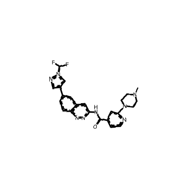 CN1CCN(c2cc(C(=O)Nc3cc4cc(-c5cnn(C(F)F)c5)ccc4nn3)ccn2)CC1